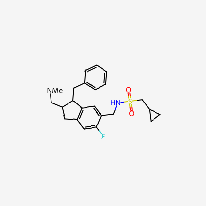 CNCC1Cc2cc(F)c(CNS(=O)(=O)CC3CC3)cc2C1Cc1ccccc1